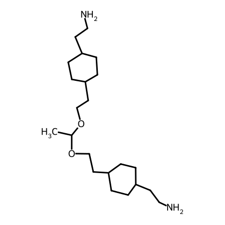 CC(OCCC1CCC(CCN)CC1)OCCC1CCC(CCN)CC1